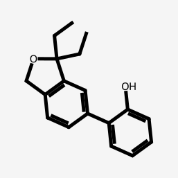 CCC1(CC)OCc2ccc(-c3ccccc3O)cc21